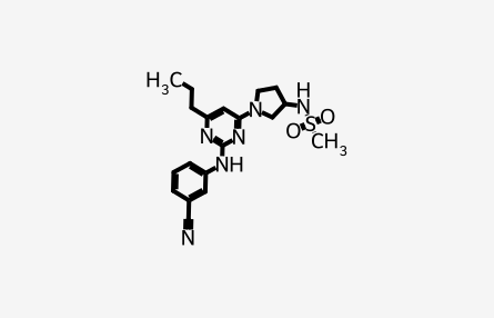 CCCc1cc(N2CCC(NS(C)(=O)=O)C2)nc(Nc2cccc(C#N)c2)n1